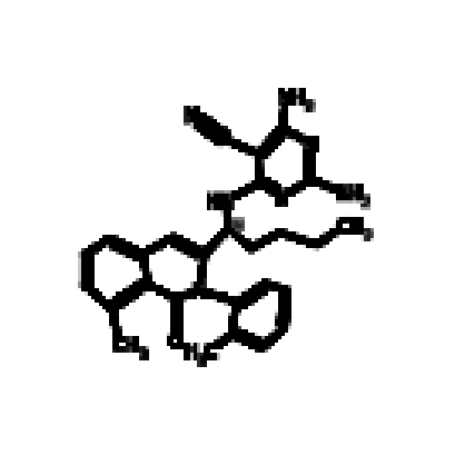 CCCC[C@H](Nc1nc(N)nc(N)c1C#N)c1cc2cccc(C)c2c(=O)n1-c1ccccc1C